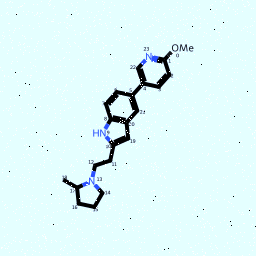 COc1ccc(-c2ccc3[nH]c(CCN4CCCC4C)cc3c2)cn1